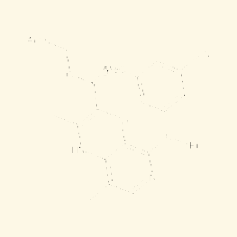 CCOc1ncc(C)c2c1[C@@H](c1ccc(C#N)cc1OC)C(C(=O)OCOC(C)=O)=C(C)N2